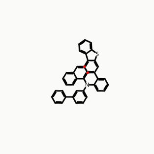 c1ccc(-c2cccc(N(c3ccccc3-c3ccc4c(c3)sc3ccccc34)c3cccc4ccccc34)c2)cc1